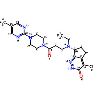 O=C(CCN(CC(F)(F)F)[C@@H]1CCc2c1n[nH]c(=O)c2C(F)(F)F)N1CCN(c2ncc(C(F)(F)F)cn2)CC1